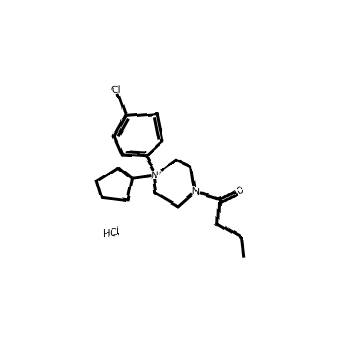 CCCC(=O)N1CC[N+](c2ccc(Cl)cc2)(C2CCCC2)CC1.Cl